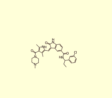 CCC(NC(=O)c1ccc2c(c1)/C(=C/c1[nH]c(C)c(C(=O)N3CCN(C)CC3)c1C)C(=O)N2)c1cccc(Cl)c1